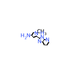 Cn1cc(N)cc1-c1nc2cccnc2[nH]1